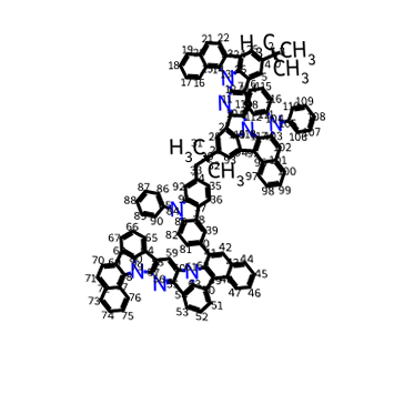 CC(C)(C)c1cc2c3cc4c(nc3n3c5c6ccccc6ccc5c(c1)c23)c1cc(C(C)(C)Cc2ccc3c5cc(-c6cc7ccccc7c7c8cccc9c%10nc%11c(cc%10n(c67)c98)c6cccc7c8ccc9ccccc9c8n%11c67)ccc5n(-c5ccccc5)c3c2)cc2c3c5ccccc5cc(N(c5ccccc5)c5ccccc5)c3n4c12